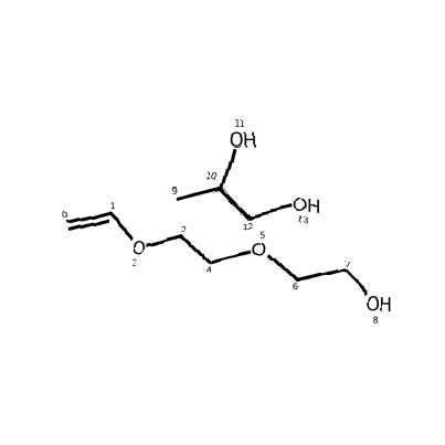 C=COCCOCCO.CC(O)CO